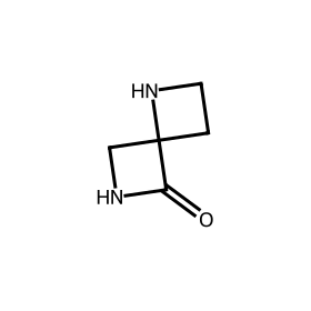 O=C1NCC12CCN2